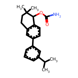 CC(C)c1cccc(-c2ccc3c(c2)CCC(C)(C)C3OC(N)=O)c1